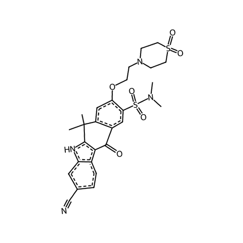 CN(C)S(=O)(=O)c1cc2c(cc1OCCN1CCS(=O)(=O)CC1)C(C)(C)c1[nH]c3cc(C#N)ccc3c1C2=O